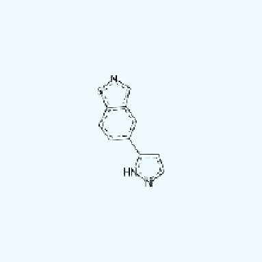 c1cc(-c2ccc3sncc3c2)[nH]n1